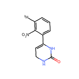 [2H]c1cccc(C2=CCNC(=O)N2)c1[N+](=O)[O-]